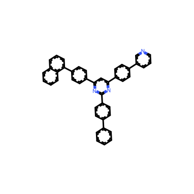 c1ccc(-c2ccc(-c3nc(-c4ccc(-c5cccnc5)cc4)cc(-c4ccc(-c5cccc6ccccc56)cc4)n3)cc2)cc1